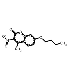 CCCCOc1ccc2c(N)c([N+](=O)[O-])c(=O)oc2c1